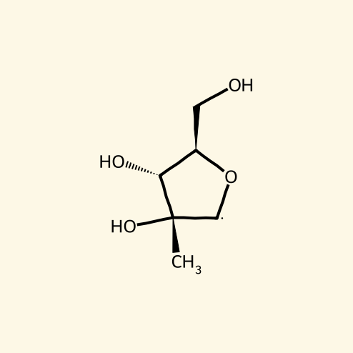 C[C@]1(O)[CH]O[C@H](CO)[C@H]1O